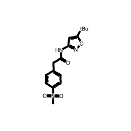 CC(C)(C)c1cc(NC(=O)Cc2ccc(S(C)(=O)=O)cc2)no1